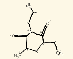 CCC1CC(C)C(=O)N(CCO)C1=O